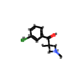 CN1CC(C)(C(=O)c2cccc(Cl)c2)C1